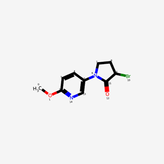 COc1ccc(N2CCC(Br)C2=O)cn1